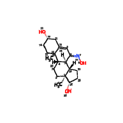 C[C@]12CC[C@H]3[C@@H](/C(=N\O)C=C4C[C@@H](O)CC[C@@]43C)[C@@H]1CC[C@@H]2O